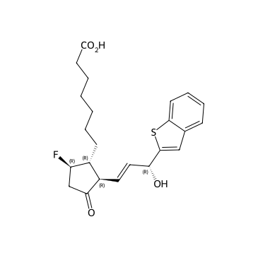 O=C(O)CCCCCC[C@H]1[C@H](F)CC(=O)[C@@H]1C=C[C@@H](O)c1cc2ccccc2s1